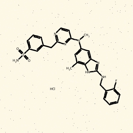 Cc1cc(N(C)c2ccnc(Cc3cccc(S(N)(=O)=O)c3)n2)cc2nc(NCc3ccccc3F)[nH]c12.Cl